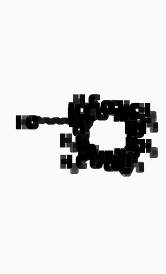 C/C=C(\C)[C@H]1OC(=O)[C@@H](C)NC(=O)[C@H]([C@H](C)CC)NC(=O)CN(C)C(=O)[C@@H](Cc2ccccc2)N(C)C(=O)[C@H](C)NC(=O)[C@@H](CC(C)C)OC(=O)/C(C)=C/C[C@H](OC(=O)NCCCCCCCCO)[C@@H]1C